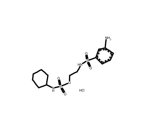 Cl.Nc1cccc(S(=O)(=O)NCCOS(=O)(=O)NC2CCCCC2)c1